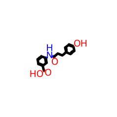 O=C(CCc1ccc(O)cc1)Nc1cccc(C(=O)O)c1